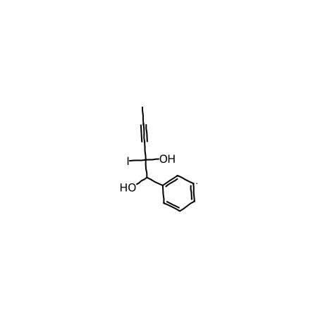 CC#CC(O)(I)C(O)c1c[c]ccc1